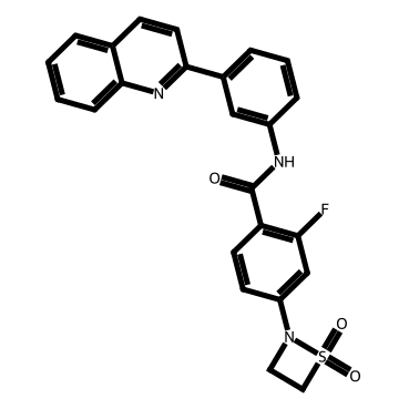 O=C(Nc1cccc(-c2ccc3ccccc3n2)c1)c1ccc(N2CCS2(=O)=O)cc1F